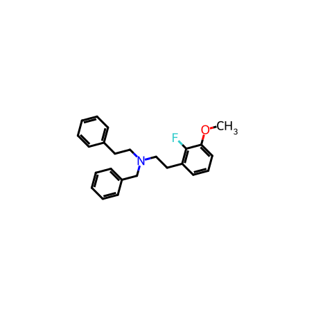 COc1cccc(CCN(CCc2ccccc2)Cc2ccccc2)c1F